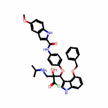 COc1ccc2[nH]c(C(=O)Nc3ccc(OC(c4c[nH]c5cccc(OCc6ccccc6)c45)C(O)(CNC(C)C)C(=O)Cl)cc3)cc2c1